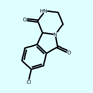 O=C1NCCN2C(=O)c3cc(Cl)ccc3C12